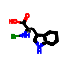 O=C(O)[C@H](Cc1c[nH]c2ccccc12)NBr